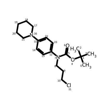 CC(C)(C)OC(=O)N(CCCCl)c1ccc(N2CCCCC2)cc1